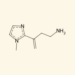 C=C(CCN)c1nccn1C